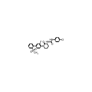 CS(=O)(=O)c1ccccc1-c1ccc(N2CCC[C@@H](NC(=O)Nc3ccc(Cl)cc3)C2=O)c(F)c1